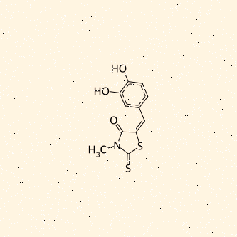 CN1C(=O)/C(=C\c2ccc(O)c(O)c2)SC1=S